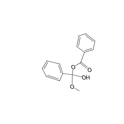 COC(O)(OC(=O)c1ccccc1)c1ccccc1